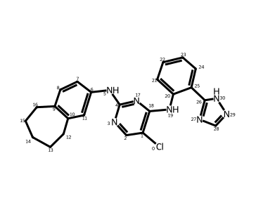 Clc1cnc(Nc2ccc3c(c2)CCCCC3)nc1Nc1ccccc1-c1ncn[nH]1